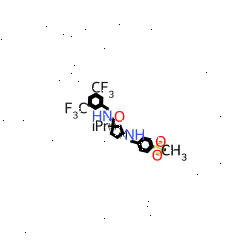 CC(C)[C@]1(C(=O)NCc2cc(C(F)(F)F)cc(C(F)(F)F)c2)CC[C@@H](NCc2ccc(S(C)(=O)=O)cc2)C1